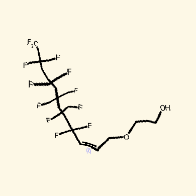 OCCOC/C=C\C(F)(F)C(F)(F)C(F)(F)C(F)(F)C(F)(F)C(F)(F)F